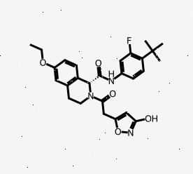 CCOc1ccc2c(c1)CCN(C(=O)Cc1cc(O)no1)[C@H]2C(=O)Nc1ccc(C(C)(C)C)c(F)c1